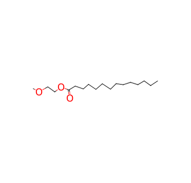 CCCCCCCCCCCCCC(=O)OCCOC